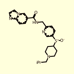 CC(C)CN1CCC([S+]([O-])c2ccc(CNC(=O)c3ccc4nccn4c3)nc2)CC1